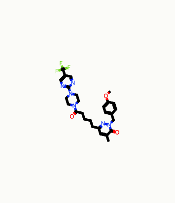 COc1ccc(Cn2nc(CCCCC(=O)N3CCN(c4ncc(C(F)(F)F)cn4)CC3)cc(C)c2=O)cc1